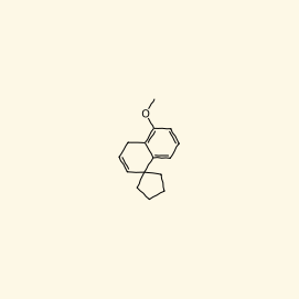 COc1cccc2c1CC=CC21CCCC1